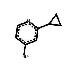 CCCc1ccnc(C2CC2)c1